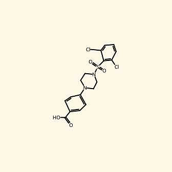 O=C(O)c1ccc(N2CCN(S(=O)(=O)c3c(Cl)cccc3Cl)CC2)cc1